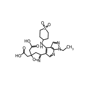 CCn1ncc2c(NC3CCS(=O)(=O)CC3)c(C3=NOC(CC(=O)O)(CC(=O)O)C3)cnc21